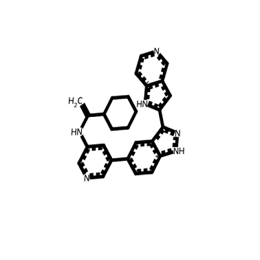 C=C(Nc1cncc(-c2ccc3[nH]nc(-c4cc5cnccc5[nH]4)c3c2)c1)C1CCCCC1